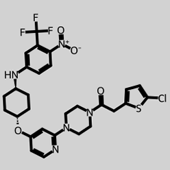 O=C(Cc1ccc(Cl)s1)N1CCN(c2cc(O[C@H]3CC[C@H](Nc4ccc([N+](=O)[O-])c(C(F)(F)F)c4)CC3)ccn2)CC1